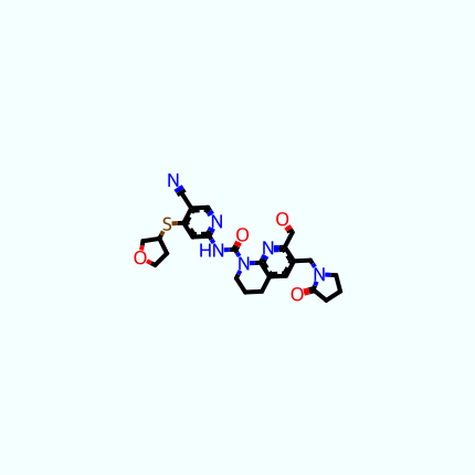 N#Cc1cnc(NC(=O)N2CCCc3cc(CN4CCCC4=O)c(C=O)nc32)cc1SC1CCOC1